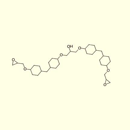 OC(COC1CCC(CC2CCC(OCC3CO3)CC2)CC1)COC1CCC(CC2CCC(OCC3CO3)CC2)CC1